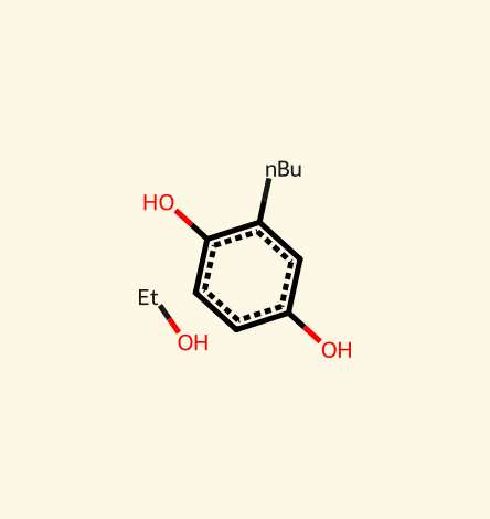 CCCCc1cc(O)ccc1O.CCO